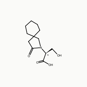 O=C(O)[C@H](CO)N1CC2(CCCCC2)CC1=O